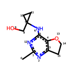 Cc1nc2c(c(NC3(CO)CC3)n1)OCC2